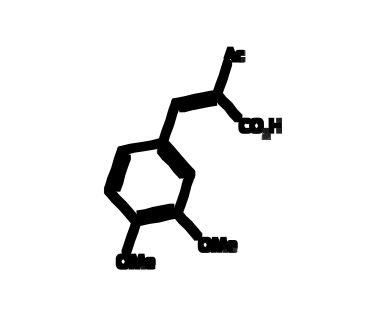 COc1ccc(C=C(C(C)=O)C(=O)O)cc1OC